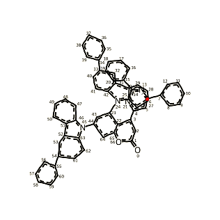 O=c1cc(-c2cc(-c3ccccc3)nc(-c3ccccc3)n2)c2c(-n3c4ccccc4c4cc(-c5ccccc5)ccc43)cc(-n3c4ccccc4c4cc(-c5ccccc5)ccc43)cc2o1